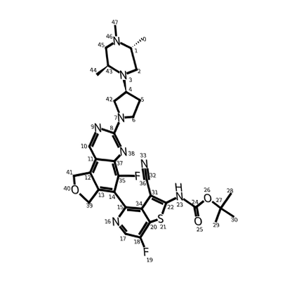 C[C@@H]1CN([C@H]2CCN(c3ncc4c5c(c(-c6ncc(F)c7sc(NC(=O)OC(C)(C)C)c(C#N)c67)c(F)c4n3)COC5)C2)[C@@H](C)CN1C